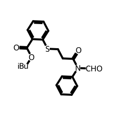 CCC(C)OC(=O)c1ccccc1SCCC(=O)N(C=O)c1ccccc1